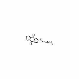 NCCCSc1ccc2c(c1)C(=O)c1ccccc1C2=O